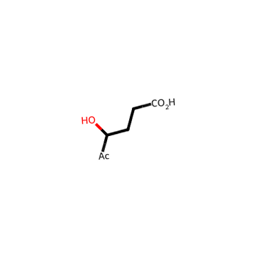 CC(=O)C(O)CCC(=O)O